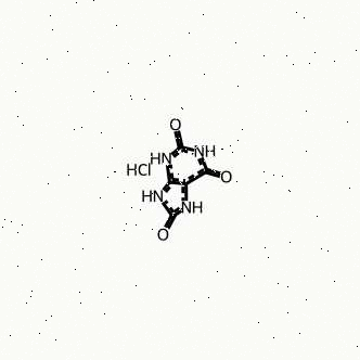 Cl.O=c1[nH]c(=O)c2[nH]c(=O)[nH]c2[nH]1